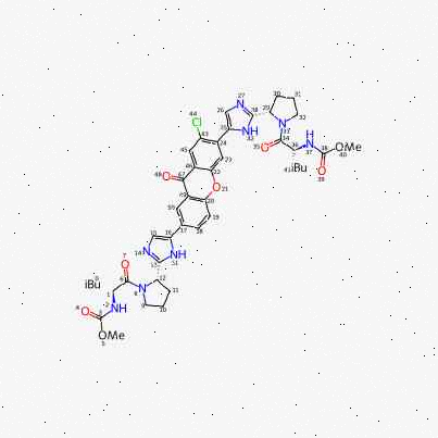 CC[C@H](C)[C@H](NC(=O)OC)C(=O)N1CCC[C@H]1c1ncc(-c2ccc3oc4cc(-c5cnc([C@@H]6CCCN6C(=O)[C@@H](NC(=O)OC)[C@@H](C)CC)[nH]5)c(Cl)cc4c(=O)c3c2)[nH]1